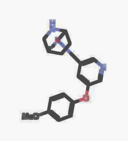 COc1ccc(Oc2cncc(N3CC4CCC(C3)NC4)c2)cc1